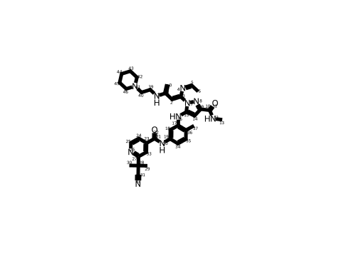 C=C(/C=C(\N=C/C)n1nc(C(=O)NC)cc1Nc1cc(NC(=O)c2ccnc(C(C)(C)C#N)c2)ccc1C)NCCN1CCCCC1